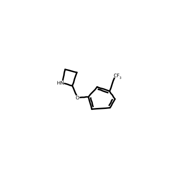 FC(F)(F)c1cccc(OC2CCN2)c1